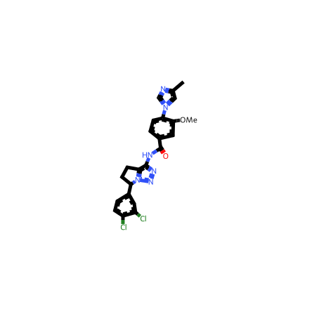 COc1cc(C(=O)Nc2nnn3c2CCC3c2ccc(Cl)c(Cl)c2)ccc1-n1cnc(C)c1